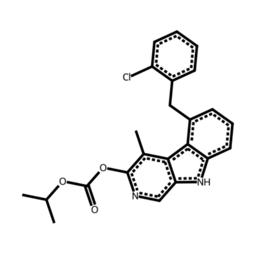 Cc1c(OC(=O)OC(C)C)ncc2[nH]c3cccc(Cc4ccccc4Cl)c3c12